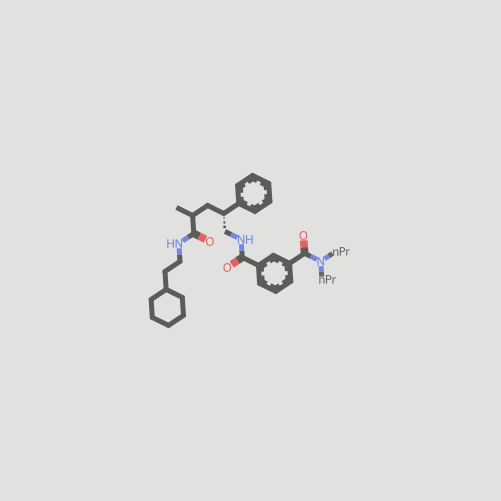 CCCN(CCC)C(=O)c1cccc(C(=O)NC[C@H](CC(C)C(=O)NCCC2CCCCC2)c2ccccc2)c1